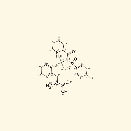 Cc1ccc(S(=O)(=O)N(C(=O)C2CNCCN2)C(C)(C)C)cc1.N[C@@H](Cc1ccccc1)C(=O)O